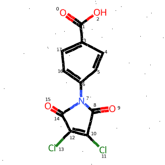 O=C(O)c1ccc(N2C(=O)C(Cl)=C(Cl)C2=O)cc1